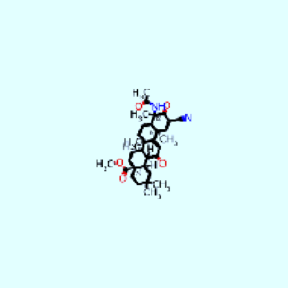 COC(=O)[C@]12CCC(C)(C)C[C@H]1[C@H]1C(=O)C=C3[C@@]4(C)C=C(C#N)C(=O)[C@@](C)(NC(C)=O)C4CC[C@@]3(C)[C@]1(C)CC2